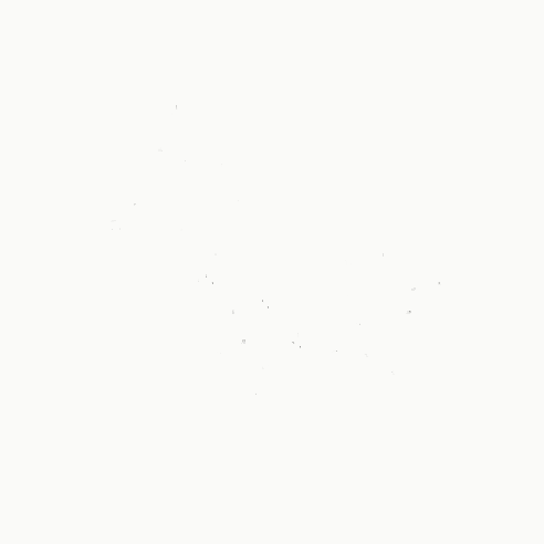 COc1ccc(C(=O)c2nc(-c3ccc(CO)c(CO)c3)c[nH]2)nc1-c1csc2c(C)cccc12